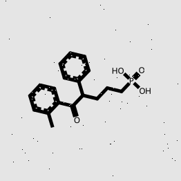 Cc1ccccc1C(=O)C(CCCP(=O)(O)O)c1ccccc1